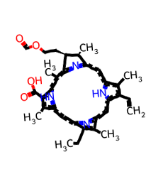 C=Cc1c(C)c2cc3nc(c(C)c4[nH]c(cc5nc(cc1[nH]2)C(C)=C5CC)c(C)c4C(=O)O)[C@@H](CCOC=O)[C@@H]3C